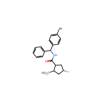 CC(C)c1ccc([C@@H](NC(=O)C2C[C@@H](F)CC2C(=O)O)c2ccccc2)cc1